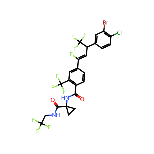 O=C(NC1(C(=O)NCC(F)(F)F)CC1)c1ccc(C(F)=CC(c2ccc(Cl)c(Br)c2)C(F)(F)F)cc1C(F)(F)F